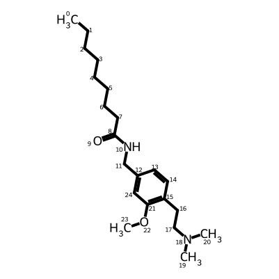 CCCCCCCCC(=O)NCc1ccc(CCN(C)C)c(OC)c1